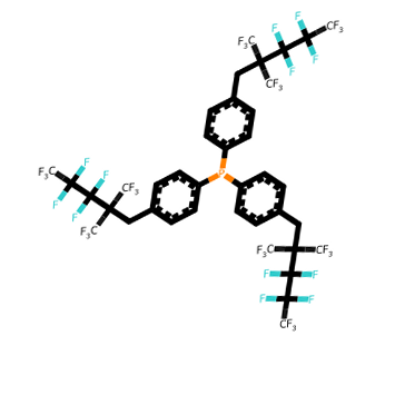 FC(F)(F)C(F)(F)C(F)(F)C(Cc1ccc(P(c2ccc(CC(C(F)(F)F)(C(F)(F)F)C(F)(F)C(F)(F)C(F)(F)F)cc2)c2ccc(CC(C(F)(F)F)(C(F)(F)F)C(F)(F)C(F)(F)C(F)(F)F)cc2)cc1)(C(F)(F)F)C(F)(F)F